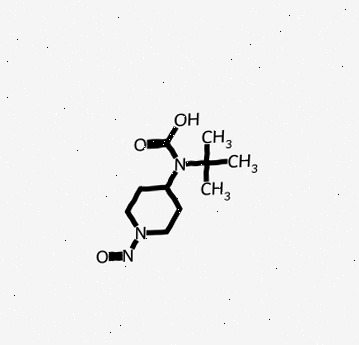 CC(C)(C)N(C(=O)O)C1CCN(N=O)CC1